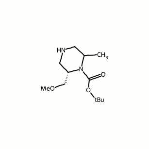 COC[C@@H]1CNCC(C)N1C(=O)OC(C)(C)C